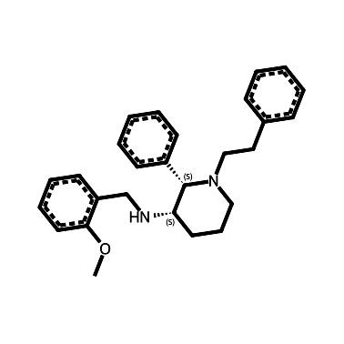 COc1ccccc1CN[C@H]1CCCN(CCc2ccccc2)[C@H]1c1ccccc1